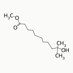 COC(=O)CCCCCCCCC(C)(C)O